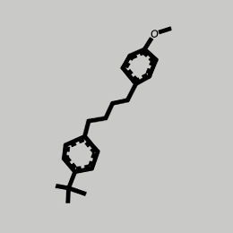 COc1ccc(CCCCc2ccc(C(C)(C)C)cc2)cc1